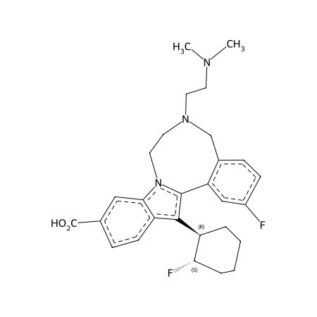 CN(C)CCN1CCn2c(c([C@H]3CCCC[C@@H]3F)c3ccc(C(=O)O)cc32)-c2cc(F)ccc2C1